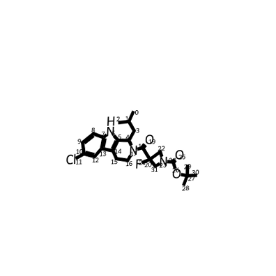 CC(C)CC1c2[nH]c3ccc(Cl)cc3c2CCN1C(=O)C1(F)CN(C(=O)OC(C)(C)C)C1